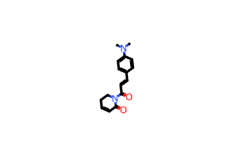 CN(C)c1ccc(C=CC(=O)N2CCC=CC2=O)cc1